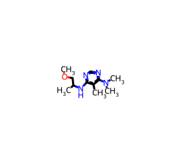 COCC(C)Nc1ncnc(N(C)C)c1C